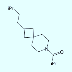 CC(C)CCC1CC2(CCN(C(=O)C(C)C)CC2)C1